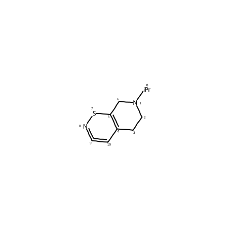 CC(C)N1CCC2=C(C1)SN=C=C2